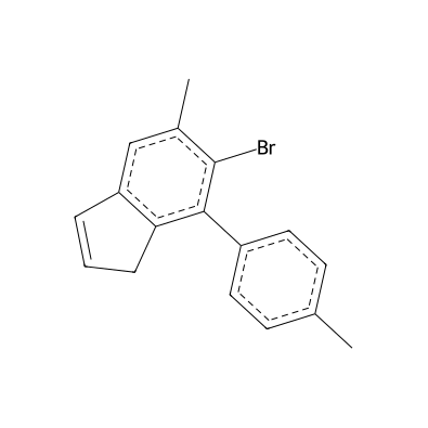 Cc1ccc(-c2c(Br)c(C)cc3c2CC=C3)cc1